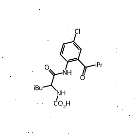 CCC(C)C(NC(=O)O)C(=O)Nc1ccc(Cl)cc1C(=O)C(C)C